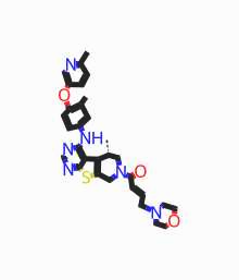 Cc1ccc(Oc2ccc(Nc3ncnc4sc5c(c34)[C@H](C)CN(C(=O)C=CCN3CCOCC3)C5)cc2C)cn1